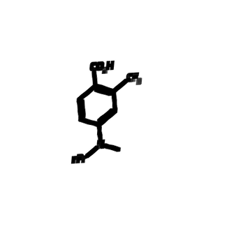 CCCN(C)c1ccc(C(=O)O)c(C(F)(F)F)c1